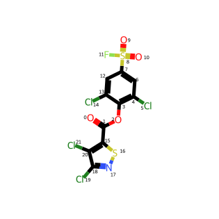 O=C(Oc1c(Cl)cc(S(=O)(=O)F)cc1Cl)c1snc(Cl)c1Cl